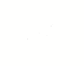 COC1CC2CC1CC2C=O